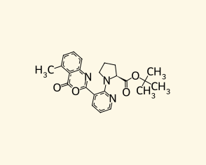 Cc1cccc2nc(-c3cccnc3N3CCC[C@H]3C(=O)OC(C)(C)C)oc(=O)c12